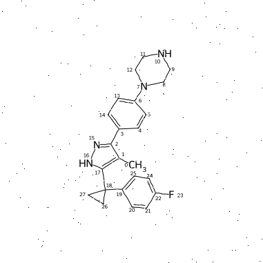 Cc1c(-c2ccc(N3CCNCC3)cc2)n[nH]c1C1(c2ccc(F)cc2)CC1